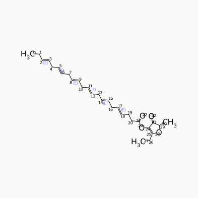 CC/C=C/C/C=C/C/C=C/C/C=C/C/C=C/C/C=C/CCC(=O)OC1=C(CC)OC(C)C1=O